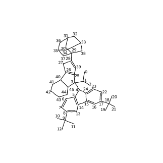 CC(C)C1(C2c3ccc(C(C)(C)C)cc3-c3cc(C(C)(C)C)ccc32)C2=C(CC(C34CC5CC(CC(C5)C3)C4)=C2)C2CCCCC21